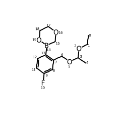 CCOC(C)OCc1cc(F)ccc1B1COCCO1